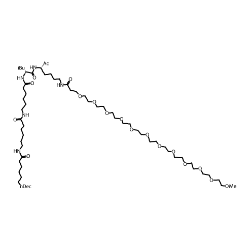 CCCCCCCCCCCCCCCC(=O)NCCCCCC(=O)NCCCCCC(=O)N[C@H](C(=O)N[C@@H](CCCCNC(=O)CCOCCOCCOCCOCCOCCOCCOCCOCCOCCOCCOCCOC)C(C)=O)[C@@H](C)CC